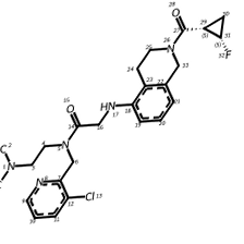 CN(C)CCN(Cc1ncccc1Cl)C(=O)CNc1cccc2c1CCN(C(=O)[C@@H]1C[C@@H]1F)C2